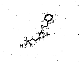 O=S(=O)(O)CCc1c[nH]c(SCc2ccccc2)c1